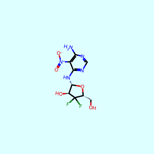 Nc1ncnc(N[C@@H]2O[C@H](CO)C(F)(F)[C@H]2O)c1[N+](=O)[O-]